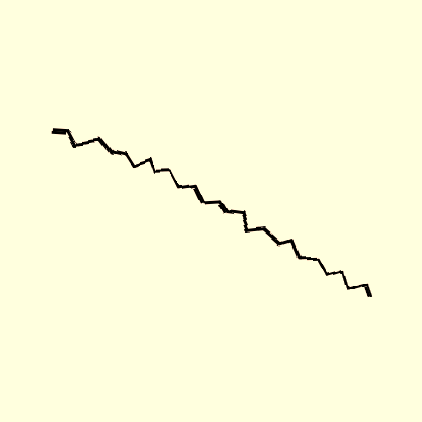 C=CCCCCCCCCCC=CC=CCCCCCCCCCCC=C